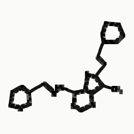 Cc1c(C=Cc2ccccc2)sc2c(NN=Cc3cccnc3)ncnc12